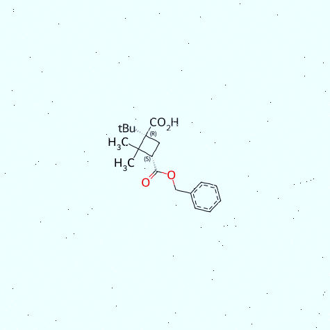 CC(C)(C)[C@]1(C(=O)O)C[C@H](C(=O)OCc2ccccc2)C1(C)C